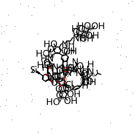 CN[C@H](CC(C)C)C(=O)N[C@H]1C(=O)N[C@@H](CC(N)=O)C(=O)N[C@H]2C(=O)N[C@@H]3C(=O)N[C@H](C(=O)N[C@H](C(=O)O)c4cc(O)c(CNCCCNC(=O)[C@H](O)[C@@H](O)[C@H](O)[C@H](O)CO)c(O)c4-c4cc3ccc4O)[C@H](O)c3ccc(c(Cl)c3)Oc3cc2cc(c3O[C@@H]2O[C@H](CO)C(O)C(O)[C@H]2O[C@@H]2C[C@@H](C)[C@@H](O)C(C)(NCc3ccc(C#C[Si](C)(C)C)cc3)C2)Oc2ccc(cc2Cl)[C@H]1O